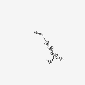 CCCCCCCCCCCCCCCC(=O)NCC(=O)NCC(=O)N[C@@H](CCCCN)C(=O)O